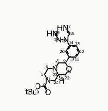 CC(C)(C)OC(=O)N1CCN2C[C@@H](c3cccc(N(C=N)N=N)c3)OC[C@@H]2C1